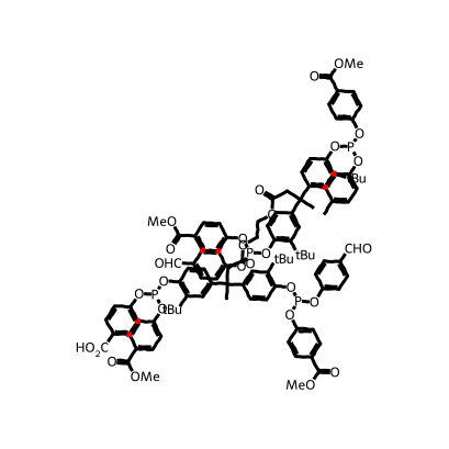 COC(=O)c1ccc(OP(Oc2ccc(C)cc2)Oc2ccc(C(C)(CC(=O)OCCOC(=O)CC(C)(c3ccc(OP(Oc4ccc(C=O)cc4)Oc4ccc(C(=O)OC)cc4)c(C(C)(C)C)c3)c3ccc(OP(Oc4ccc(C(=O)O)cc4)Oc4ccc(C(=O)OC)cc4)c(C(C)(C)C)c3)c3ccc(OP(Oc4ccc(C=O)cc4)Oc4ccc(C(=O)OC)cc4)c(C(C)(C)C)c3)cc2C(C)(C)C)cc1